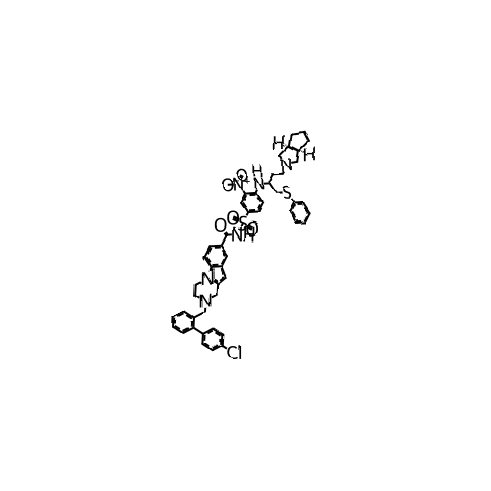 O=C(NS(=O)(=O)c1ccc(NC(CCN2C[C@H]3CCC[C@H]3C2)CSc2ccccc2)c([N+](=O)[O-])c1)c1ccc2c(c1)cc1n2CCN(Cc2ccccc2-c2ccc(Cl)cc2)C1